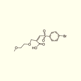 COCCOCC(=CS(=O)(=O)c1ccc(Br)cc1)C(=O)O